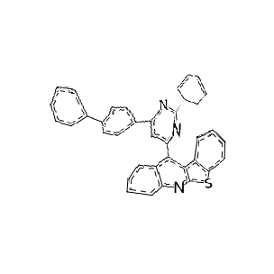 C1=CC[C@H](c2nc(-c3ccc(-c4ccccc4)cc3)cc(-c3c4ccccc4nc4sc5ccccc5c34)n2)C=C1